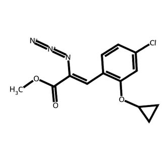 COC(=O)C(=Cc1ccc(Cl)cc1OC1CC1)N=[N+]=[N-]